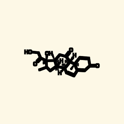 CC1C[C@H]2[C@@H]3C=CC4=CC(=O)C=C[C@]4(C)[C@H]3C(=O)C[C@]2(C)[C@@]1(O)C(=O)CO